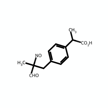 CC(C(=O)O)c1ccc(CC(C)(C=O)N=O)cc1